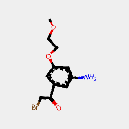 COCCOc1cc(N)cc(C(=O)CBr)c1